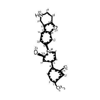 Cc1ccc(-c2ccn(-c3ccc4c5c(oc4c3)CCNC5)c(=O)c2)c(Cl)c1